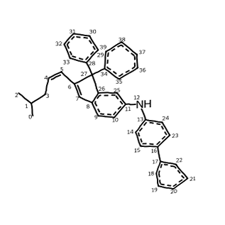 CC(C)C/C=C\C1=Cc2ccc(Nc3ccc(-c4ccccc4)cc3)cc2C1(c1ccccc1)c1ccccc1